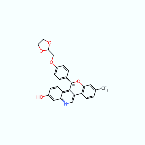 Oc1ccc2c3c(cnc2c1)-c1ccc(C(F)(F)F)cc1O[C@@H]3c1ccc(OCC2OCCO2)cc1